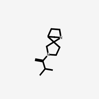 C=C(C(C)C)N1CCC2(C1)C1CCN2CC1